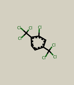 Clc1cc(C(Cl)(Cl)Cl)ccc1C(Cl)(Cl)Cl